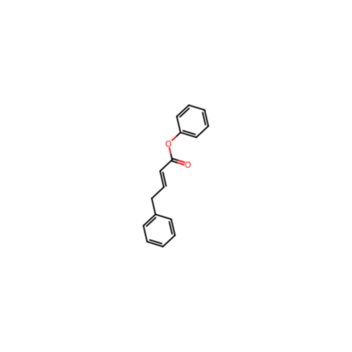 O=C(C=CCc1ccccc1)Oc1ccccc1